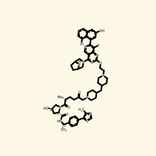 CCc1cccc2cc(O)cc(-c3ncc4c(N5CC6CCC(C5)N6)nc(OCCN5CCC(CC6CCN(CC(=O)CC[C@H](C(=O)N7C[C@H](O)C[C@H]7C(=O)N[C@@H](C)c7ccc(-c8scnc8C)cc7)C(C)(C)C)CC6)CC5)nc4c3F)c12